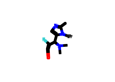 Cc1ncc(C(C(F)=C=O)N(C)C)n1C(C)C